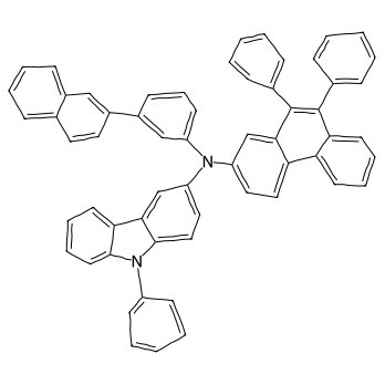 c1ccc(-c2c(-c3ccccc3)c3cc(N(c4cccc(-c5ccc6ccccc6c5)c4)c4ccc5c(c4)c4ccccc4n5-c4ccccc4)ccc3c3ccccc23)cc1